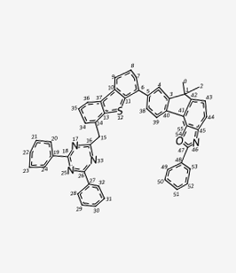 CC1(C)c2cc(-c3cccc4c3sc3c(Cc5nc(-c6ccccc6)nc(-c6ccccc6)n5)cccc34)ccc2-c2c1ccc1nc(-c3ccccc3)oc21